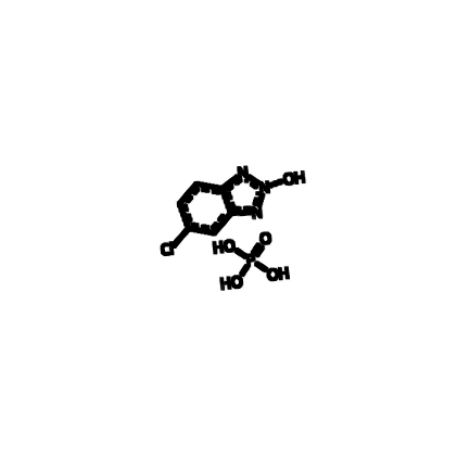 O=P(O)(O)O.On1nc2ccc(Cl)cc2n1